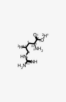 [2H]OC(=O)[C@@H](N)CC([2H])CNC(=N)N